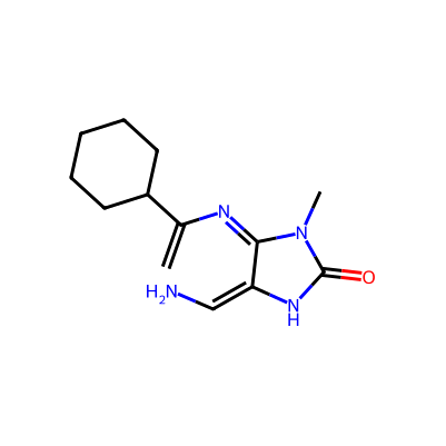 C=C(/N=C1\C(=C/N)NC(=O)N1C)C1CCCCC1